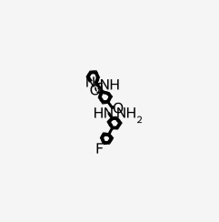 N=[S@](=O)(c1ccc(C(=O)Nc2cc(-c3ccc(F)cc3)ccc2N)cc1)c1ccccn1